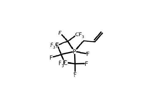 C=CCP(F)(C(F)(F)C(F)(F)F)(C(F)(F)C(F)(F)F)C(F)(F)C(F)(F)F